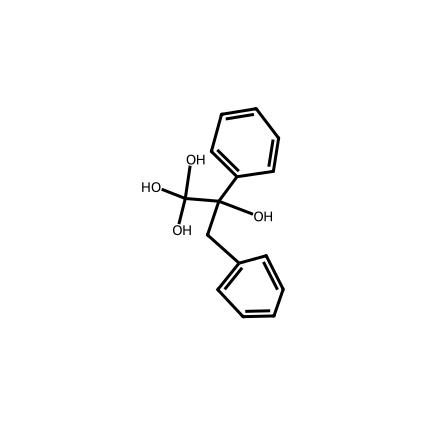 OC(O)(O)C(O)(Cc1ccccc1)c1ccccc1